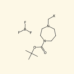 CC(C)(C)OC(=O)N1CCCN([CH2][K])CC1.FB(F)F